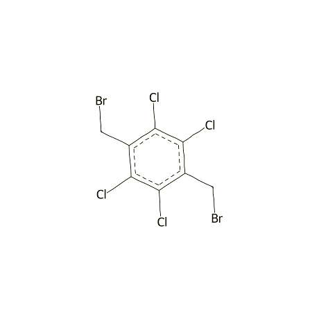 Clc1c(Cl)c(CBr)c(Cl)c(Cl)c1CBr